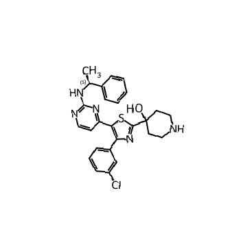 C[C@H](Nc1nccc(-c2sc(C3(O)CCNCC3)nc2-c2cccc(Cl)c2)n1)c1ccccc1